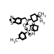 Cc1ccc(S(=O)(=O)N2[C@@H]3CC[C@@H](C3)[C@H]2C(=O)N(Cc2ccc3scnc3c2)C2CCC(C)(C)CC2)cc1